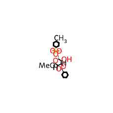 CO[C@H]1O[C@H](COS(=O)(=O)c2ccc(C)cc2)[C@@H](O)[C@@H]2O[C@@H](c3ccccc3)O[C@H]12